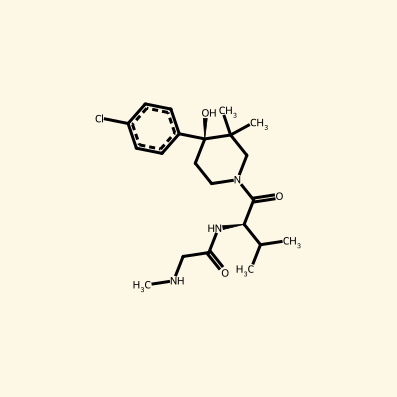 CNCC(=O)N[C@@H](C(=O)N1CC[C@](O)(c2ccc(Cl)cc2)C(C)(C)C1)C(C)C